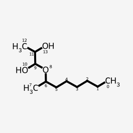 CCCCCCC(C)OC(O)C(C)O